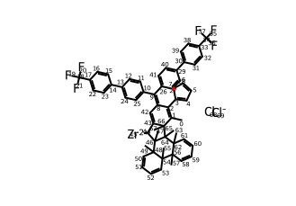 CC1=C(C2=CC=CC2)C(=C(c2ccc(-c3ccc(C(F)(F)F)cc3)cc2)c2ccc(-c3ccc(C(F)(F)F)cc3)cc2)C=C2[CH]([Zr+2])C3(C)C4(C)C=CC=CC4(C)C4(C)C=CC=CC4(C)C3(C)C21C.[Cl-].[Cl-]